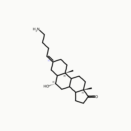 C[C@]12CC/C(=C\CCCN)CC1[C@@H](O)CC1C2CC[C@]2(C)C(=O)CCC12